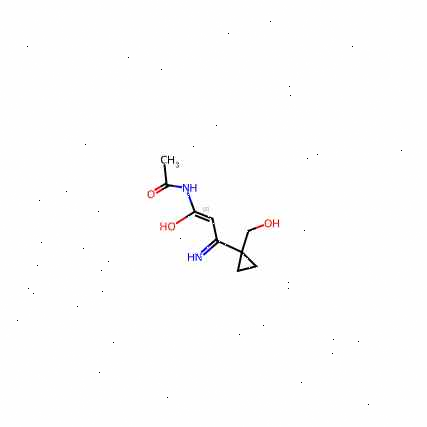 CC(=O)N/C(O)=C/C(=N)C1(CO)CC1